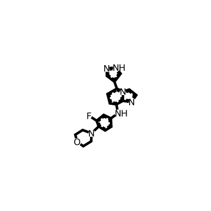 Fc1cc(Nc2ccc(-c3cn[nH]c3)n3ccnc23)ccc1N1CCOCC1